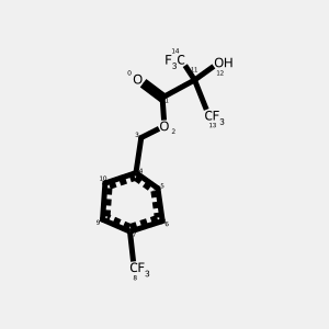 O=C(OCc1ccc(C(F)(F)F)cc1)C(O)(C(F)(F)F)C(F)(F)F